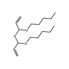 C=CC([N]C(C=C)OCCCCC)OCCCCC